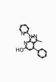 Cc1nn(-c2ccccn2)c2nc(O)cc(-c3ccccc3)c12